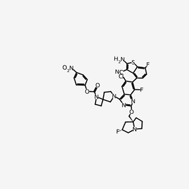 N#Cc1c(N)sc2c(F)ccc(-c3c(Cl)cc4c(N5CCC6(CCN6C(=O)Oc6ccc([N+](=O)[O-])cc6)C5)nc(OC[C@@]56CCCN5C[C@H](F)C6)nc4c3F)c12